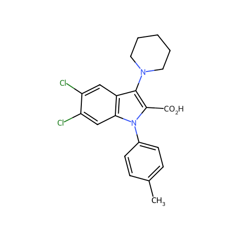 Cc1ccc(-n2c(C(=O)O)c(N3CCCCC3)c3cc(Cl)c(Cl)cc32)cc1